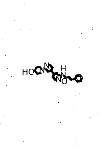 O=C(C=Cc1ccccc1)Nc1cc(-c2ccnc(N3CCC(O)CC3)c2)ccn1